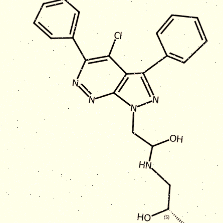 C[C@H](O)CNC(O)Cn1nc(-c2ccccc2)c2c(Cl)c(-c3ccccc3)nnc21